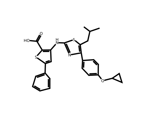 CC(C)Cc1sc(Nc2cc(-c3ccccc3)sc2C(=O)O)nc1-c1ccc(OC2CC2)cc1